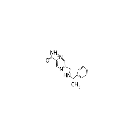 CC(NCc1cnc(C(N)=O)cn1)c1ccccc1